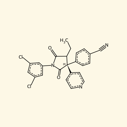 CCC1C(=O)N(c2cc(Cl)cc(Cl)c2)C(=O)[C@@]1(c1ccncc1)c1ccc(C#N)cc1